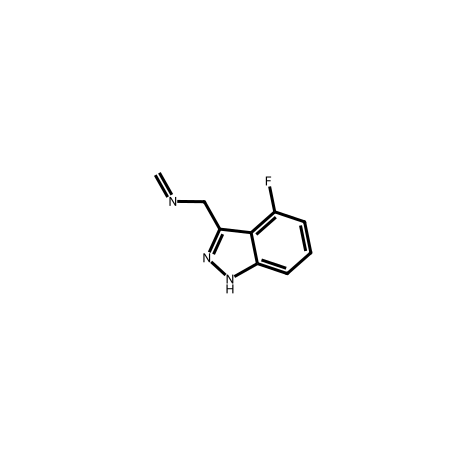 C=NCc1n[nH]c2cccc(F)c12